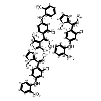 Cc1ccccc1Nc1ccc(C(=NO)c2c(C)noc2C)c(Cl)c1.Cn1ccnc1C(=NO)c1ccc(Nc2ccccc2N)cc1Cl.Cn1ccnc1C(=NO)c1ccc(Nc2ccccc2[N+](=O)[O-])cc1Cl